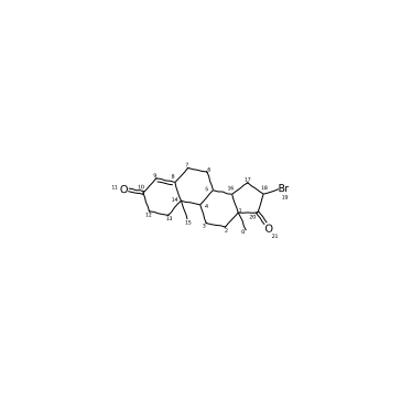 CC12CCC3C(CCC4=CC(=O)CCC43C)C1CC(Br)C2=O